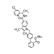 Cc1c(C)n(Cc2ccc(-c3ccccc3C(=O)OC(C)(C)C)cc2)c2ccc(C(=O)NC(C)c3cc(Cl)ccn3)cc12